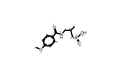 COc1ccc(C(=O)NCC(C)C[PH](=O)O)cc1